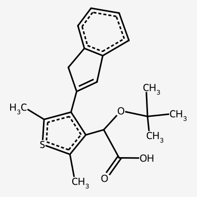 Cc1sc(C)c(C(OC(C)(C)C)C(=O)O)c1C1=Cc2ccccc2C1